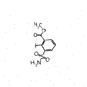 COC(=O)c1cccc(S(N)(=O)=O)c1I